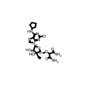 C#C[C@@]1(O)[C@@H](COC(C(N)=O)C(N)=O)O[C@@H](n2cnc3c(NC4CCCC4)nc(Cl)nc32)[C@@H]1O